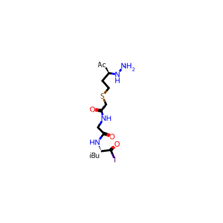 CC[C@H](C)[C@H](NC(=O)CNC(=O)CSCC[C@H](NN)C(C)=O)C(=O)I